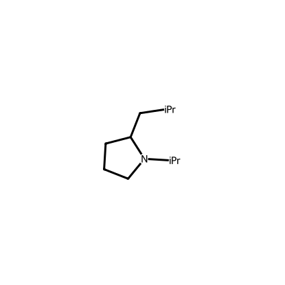 CC(C)CC1CCCN1C(C)C